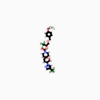 COc1ccc(COCC(OC(=O)N2CCC3(CCC(n4cc(C(F)(F)F)cn4)CO3)CC2)C(F)(F)F)cc1